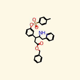 Cc1ccc(S(=O)(=O)Oc2cccc(C(CC(=O)OCc3ccccc3)C(N)Cc3ccccc3)c2)cc1